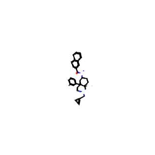 CC(=O)Oc1cccc(C23CCN(CC4CC4)CC2(OC(C)=O)CCC(N(C)C(=O)c2ccc4ccccc4c2)C3)c1